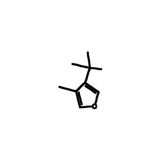 Cc1cocc1C(C)(C)C